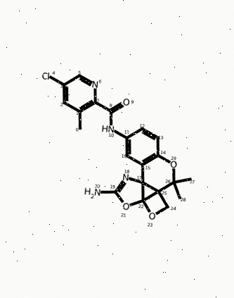 Cc1cc(Cl)cnc1C(=O)Nc1ccc2c(c1)C13N=C(N)OC14OCC43C(C)(C)O2